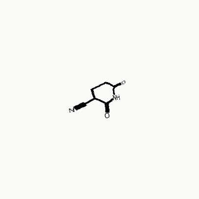 N#CC1CCC(=O)NC1=O